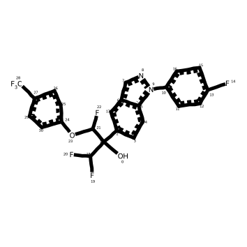 OC(c1ccc2c(cnn2-c2ccc(F)cc2)c1)(C(F)F)C(F)Oc1ccc(C(F)(F)F)cc1